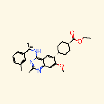 CCOC(=O)[C@H]1CC[C@H](c2cc3c(N[C@H](C)c4cccc(C)c4)nc(C)nc3cc2OC)CC1